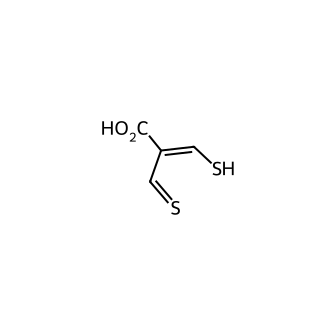 O=C(O)C(C=S)=CS